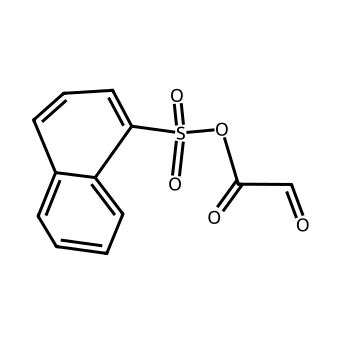 O=CC(=O)OS(=O)(=O)c1cccc2ccccc12